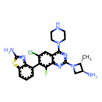 C[C@@H]1[C@@H](N)CN1c1nc(N2CCNCC2)c2cc(Cl)c(-c3cccc4sc(N)nc34)c(F)c2n1